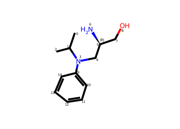 CC(C)N(C[C@@H](N)CO)c1ccccc1